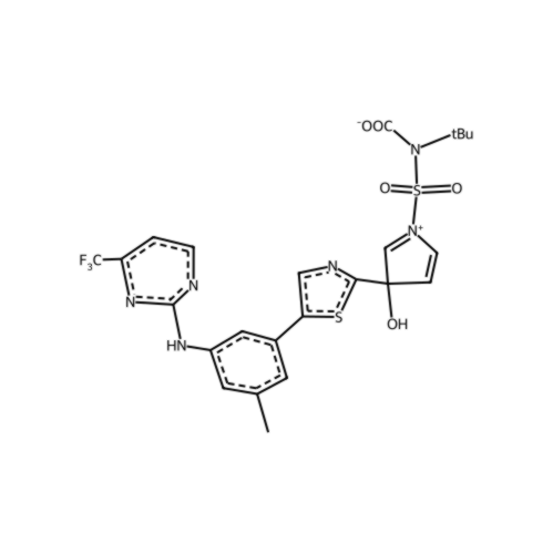 Cc1cc(Nc2nccc(C(F)(F)F)n2)cc(-c2cnc(C3(O)C=C[N+](S(=O)(=O)N(C(=O)[O-])C(C)(C)C)=C3)s2)c1